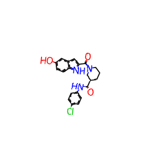 O=C(Nc1ccc(Cl)cc1)C1CCCN(C(=O)c2cc3cc(O)ccc3[nH]2)C1